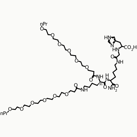 CCCOCCOCCOCCOCCOCCOCCC(=O)NCCCC[C@@H](NC(=O)CCOCCOCCOCCOCCOCCOCCC)C(=O)NC(CCCCNC(=O)CNC(Cc1c[nH]cn1)C(=O)O)C(N)=O